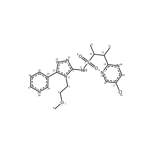 COCCn1c(NS(=O)(=O)C(C)C(C)c2ncc(Cl)cn2)nnc1-c1cccnc1